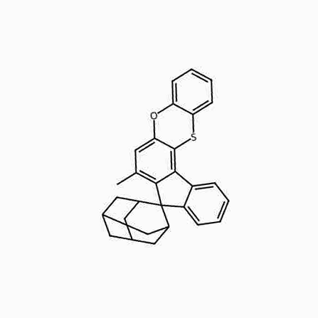 Cc1cc2c(c3c1C1(c4ccccc4-3)C3CC4CC(C3)CC1C4)Sc1ccccc1O2